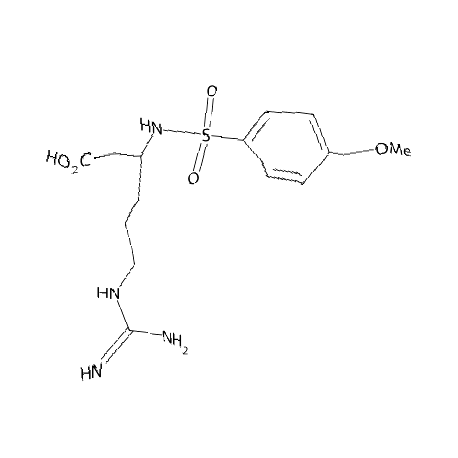 COc1ccc(S(=O)(=O)NC(CCCNC(=N)N)C(=O)O)cc1